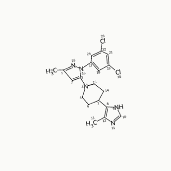 Cc1cc(N2CCC(c3[nH]cnc3C)CC2)n(-c2cc(Cl)cc(Cl)c2)n1